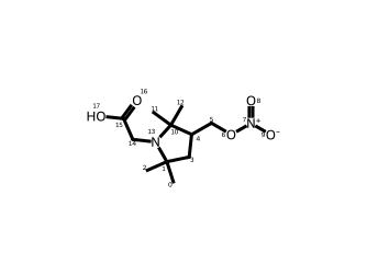 CC1(C)CC(CO[N+](=O)[O-])C(C)(C)N1CC(=O)O